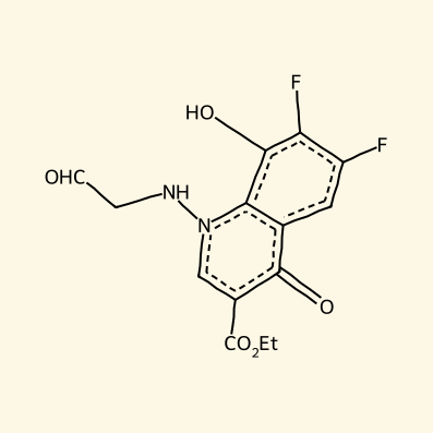 CCOC(=O)c1cn(NCC=O)c2c(O)c(F)c(F)cc2c1=O